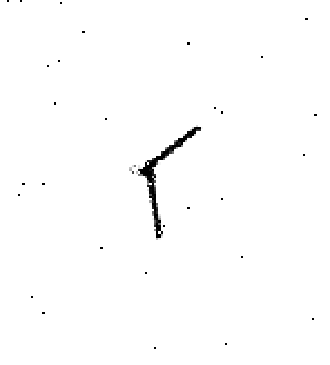 CCCCCCCCCCCCCCCCCCCCCCOc1cc(CCl)cc(OCCCCCCCCCCCCCCCCCCCCCC)c1